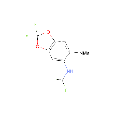 CNc1cc2c(cc1NC(F)F)OC(F)(F)O2